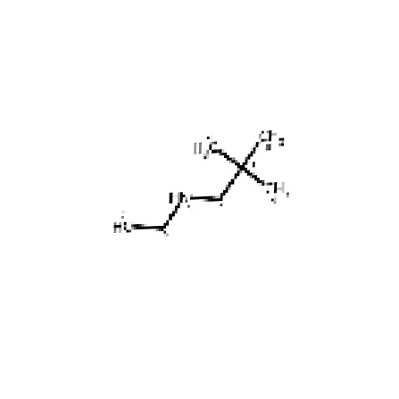 CC(C)(C)CNCO